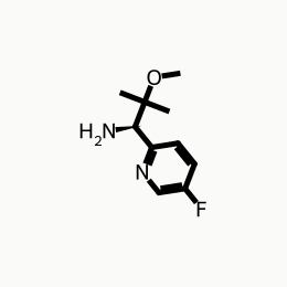 COC(C)(C)[C@H](N)c1ccc(F)cn1